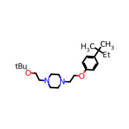 CCC(C)(C)c1ccc(OCCN2CCN(CCOC(C)(C)C)CC2)cc1